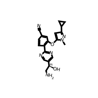 Cn1nc(C2CC2)cc1Oc1cc(C#N)ccc1-c1ncc([C@@H](O)CN)cn1